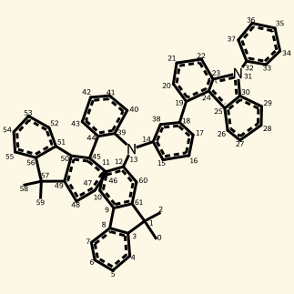 CC1(C)c2ccccc2-c2ccc(N(c3cccc(-c4cccc5c4c4ccccc4n5-c4ccccc4)c3)c3ccccc3-c3cccc4c3-c3ccccc3C4(C)C)cc21